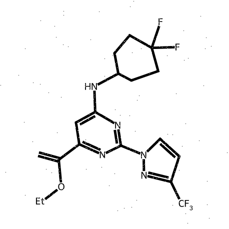 C=C(OCC)c1cc(NC2CCC(F)(F)CC2)nc(-n2ccc(C(F)(F)F)n2)n1